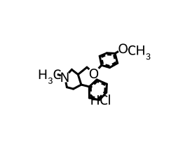 COc1ccc(OCC2CN(C)CCC2c2ccccc2)cc1.Cl